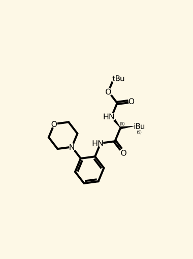 CC[C@H](C)[C@H](NC(=O)OC(C)(C)C)C(=O)Nc1ccccc1N1CCOCC1